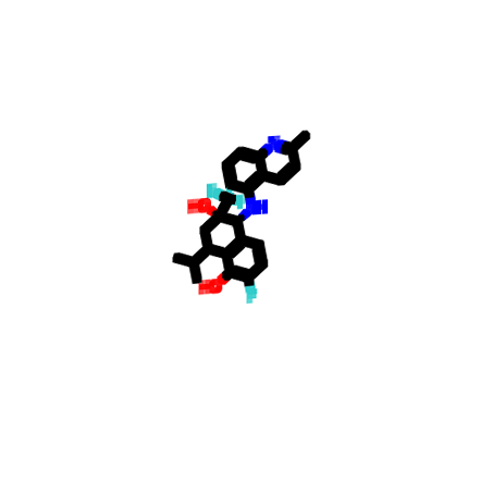 Cc1ccc2c(N[C@H]3c4ccc(F)c(O)c4C(C(C)C)C[C@]3(O)C(F)(F)F)cccc2n1